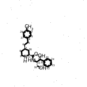 Cc1ccc(CC[C@@H]2CCN[C@H](C(=O)N[C@@H](CO)[C@H](O)c3ccccc3)C2)cc1